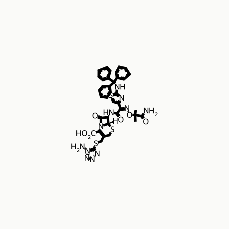 CC(C)(O/N=C(\C(=O)N[C@@H]1C(=O)N2C(C(=O)O)=C(CSc3nnnn3N)CS[C@@H]12)c1csc(NC(c2ccccc2)(c2ccccc2)c2ccccc2)n1)C(N)=O